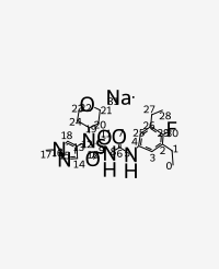 CCc1cc(NC(=O)NS(=O)(=O)N(c2cnn(C)c2)C2CCOCC2)cc(CC)c1F.[Na]